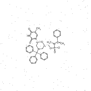 Cc1cn([C@H]2CN(C(c3ccccc3)(c3ccccc3)c3ccccc3)C[C@@H](COP(=O)(Cl)N(C)[C@H](C)c3ccccc3)O2)c(=O)[nH]c1=O